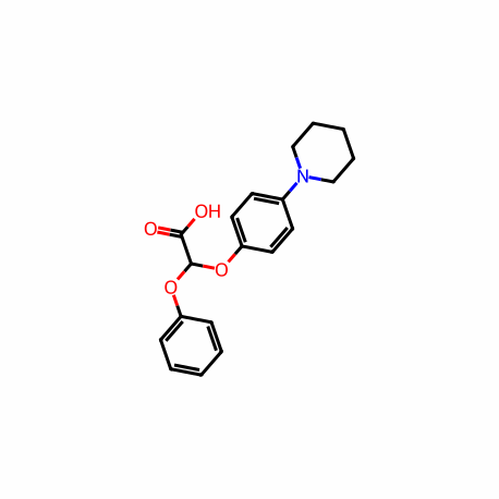 O=C(O)C(Oc1ccccc1)Oc1ccc(N2CCCCC2)cc1